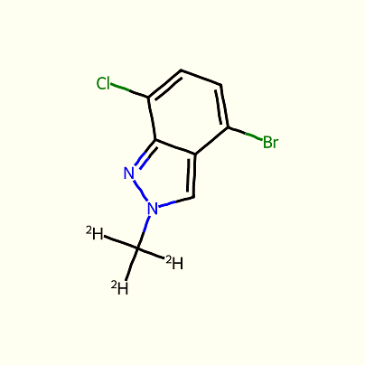 [2H]C([2H])([2H])n1cc2c(Br)ccc(Cl)c2n1